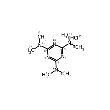 CN(C)c1nc(N(C)C)nc(N(C)C)n1.Cl